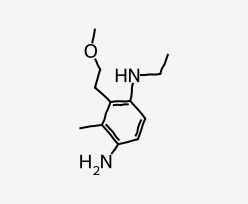 CCNc1ccc(N)c(C)c1CCOC